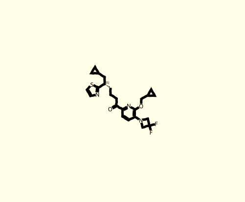 O=C(CCC[C@@H](CC1CC1)c1nccs1)c1ccc(N2CC(F)(F)C2)c(OCC2CC2)n1